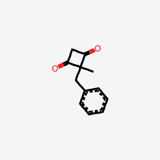 CC1(Cc2ccccc2)C(=O)CC1=O